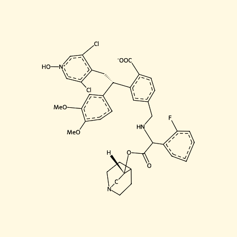 COc1ccc([C@H](Cc2c(Cl)c[n+](O)cc2Cl)c2cc(CNC(C(=O)O[C@H]3CN4CCC3CC4)c3ccccc3F)ccc2C(=O)[O-])cc1OC